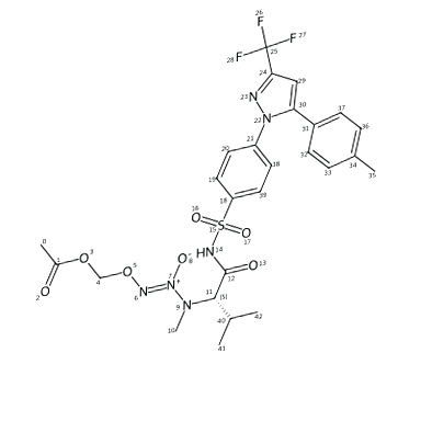 CC(=O)OCON=[N+]([O-])N(C)[C@H](C(=O)NS(=O)(=O)c1ccc(-n2nc(C(F)(F)F)cc2-c2ccc(C)cc2)cc1)C(C)C